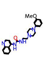 COc1cccc(N2CCN(CCNC(=O)Nc3ccnc4ccccc34)CC2)c1